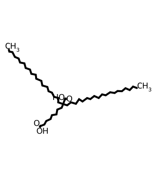 CCCCCCCCCCCCCCCCCCCCC(CCCCCCCCCCCCCCCCCCCC)(CCCCCCCC(=O)O)C(=O)O